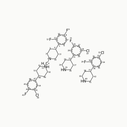 CN1CCC(c2ccc(F)cc2F)CC1.Fc1cc(Cl)cc(C2CCNCC2)c1.Fc1cc(Cl)ccc1C1CCNCC1.Fc1ccc(C2CCNCC2)cc1Cl